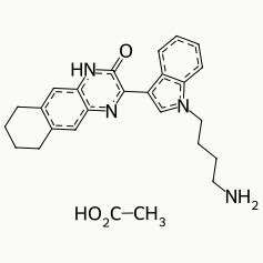 CC(=O)O.NCCCCn1cc(-c2nc3cc4c(cc3[nH]c2=O)CCCC4)c2ccccc21